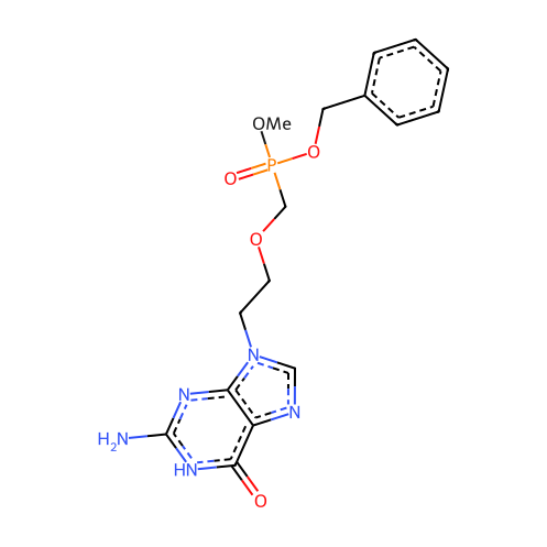 COP(=O)(COCCn1cnc2c(=O)[nH]c(N)nc21)OCc1ccccc1